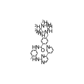 [2H]C1([2H])N(C)C([2H])([2H])C([2H])([2H])N(Cc2ccc(C(=O)Nc3ccc(C)c(Nc4nccc(-c5cccnc5)n4)c3)cc2)C1([2H])[2H]